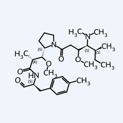 CC[C@H](C)[C@@H](C(CC(=O)N1CCC[C@H]1C(OC)[C@@H](C)C(=O)N[C@H](C=O)Cc1ccc(C)cc1)OC)N(C)C